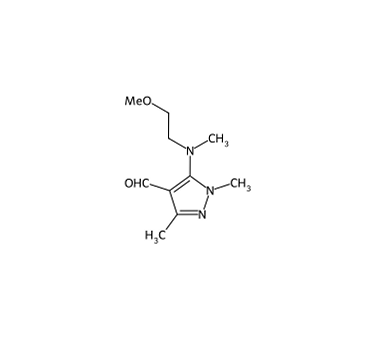 COCCN(C)c1c(C=O)c(C)nn1C